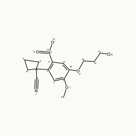 COc1cc(C2(C#N)CCC2)c([N+](=O)[O-])cc1OCCCCl